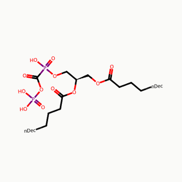 CCCCCCCCCCCCCC(=O)OC[C@H](COP(=O)(O)C(=O)OP(=O)(O)O)OC(=O)CCCCCCCCCCCCC